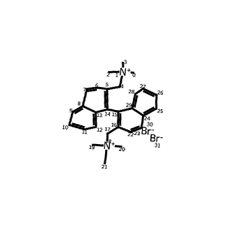 C[N+](C)(C)Cc1ccc2ccccc2c1-c1c(C[N+](C)(C)C)ccc2ccccc12.[Br-].[Br-]